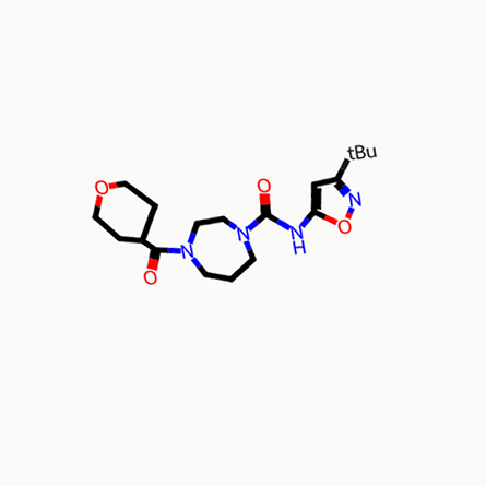 CC(C)(C)c1cc(NC(=O)N2CCCN(C(=O)C3CCOCC3)CC2)on1